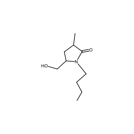 CCCCN1C(=O)C(C)CC1CO